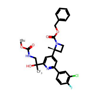 CC(C)(C)OC(=O)NCC(O)(c1cc([C@@]2(C)CCN2C(=O)OCc2ccccc2)cc(-c2ccc(F)c(Cl)c2)n1)C(F)(F)F